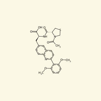 COc1cccc(OC)c1-c1ccc2cc(C[C@H](NC(=O)[C@@H]3CSCN3C(C)=O)C(=O)O)ccc2n1